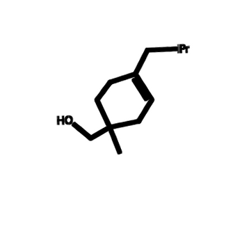 CC(C)CC1=CCC(C)(CO)CC1